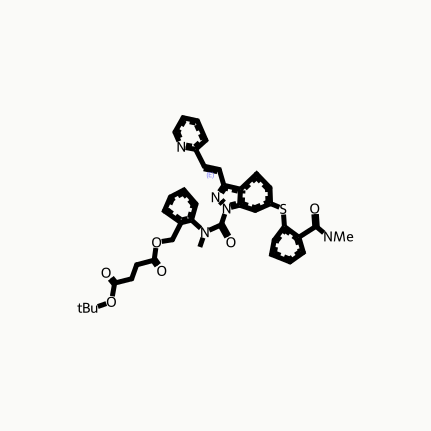 CNC(=O)c1ccccc1Sc1ccc2c(/C=C/c3ccccn3)nn(C(=O)N(C)c3ccccc3COC(=O)CCC(=O)OC(C)(C)C)c2c1